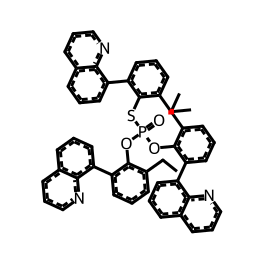 CCc1cccc(-c2cccc3cccnc23)c1OP(=O)(Oc1c(CC)cccc1-c1cccc2cccnc12)Sc1c(CC)cccc1-c1cccc2cccnc12